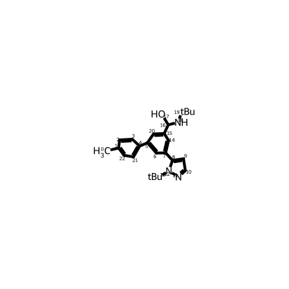 Cc1ccc(-c2cc(-c3ccnn3C(C)(C)C)cc(C(O)NC(C)(C)C)c2)cc1